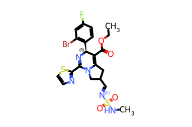 CCOC(=O)C1=C2CC(/C=N/S(=O)(=O)NC)CN2C(c2nccs2)=N[C@H]1c1ccc(F)cc1Br